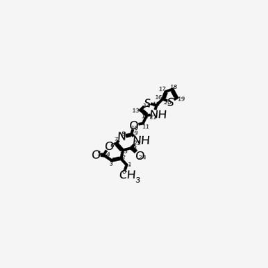 CCc1cc(=O)oc2nc(OCC3=CSC(c4cccs4)N3)[nH]c(=O)c12